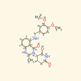 COc1ccc(CNc2cccc3nc(C)n(C4CCC(=O)NC4=O)c(=O)c23)cc1OC